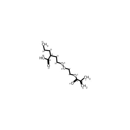 C=C(C)C(=O)OCCOOCCC(CCC)C(=O)O